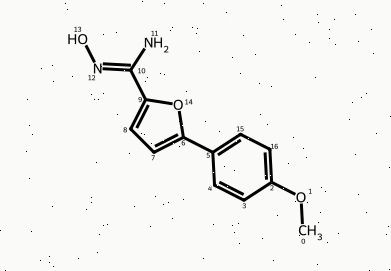 COc1ccc(-c2ccc(C(N)=NO)o2)cc1